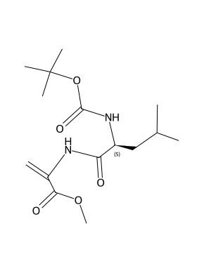 C=C(NC(=O)[C@H](CC(C)C)NC(=O)OC(C)(C)C)C(=O)OC